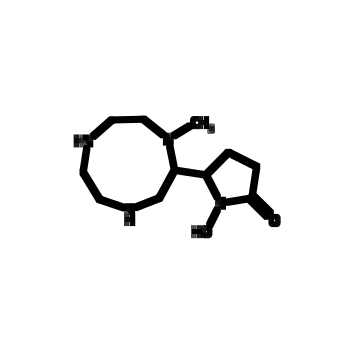 CN1CCNCCNCC1C1CCC(=O)N1O